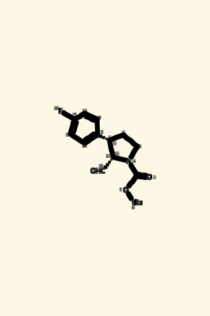 CC(C)(C)OC(=O)N1CC[C@@H](c2ccc(F)cc2)[C@H]1C=O